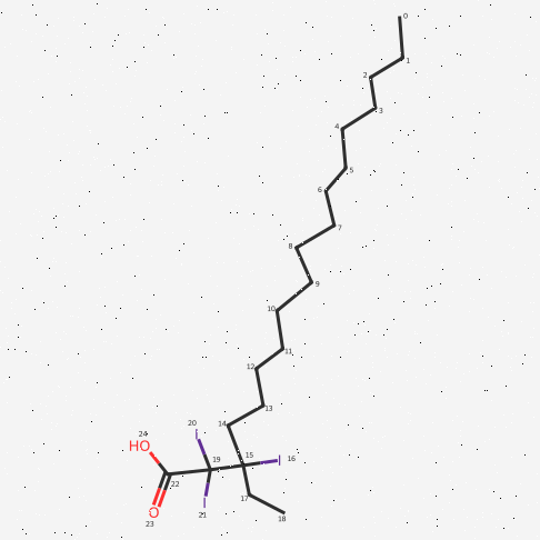 CCCCCCCCCCCCCCCC(I)(CC)C(I)(I)C(=O)O